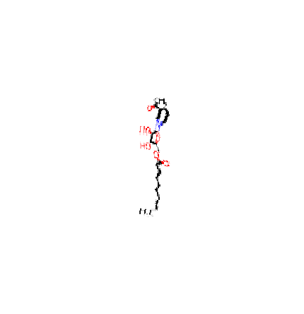 CCCCCCCCCC(=O)OC[C@H]1O[C@@H](N2C=CCC(C(C)=O)=C2)[C@H](O)[C@@H]1O